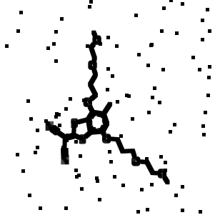 COCCOCCCOc1cc(C)c(OCCCOCCOC)c2c1SC(=C(C#N)C#N)S2